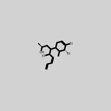 C=C/C=C\C(CC)C(C[C@H](C)O)C1CC=C(CC)[C@H](CC)C1C